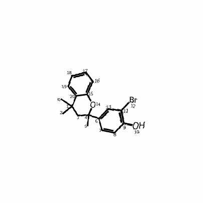 CC1(C)CC(C)(c2ccc(O)c(Br)c2)Oc2ccccc21